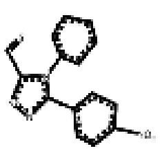 O=[N+]([O-])c1ccc(-c2nnc(C=S)n2-c2ccccc2)cc1